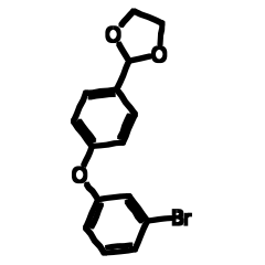 Brc1cccc(Oc2ccc(C3OCCO3)cc2)c1